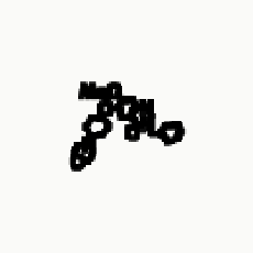 COc1cc2ncn(Cc3ccccc3)c(=O)c2cc1OC1CCC(N2CCOCC2)CC1